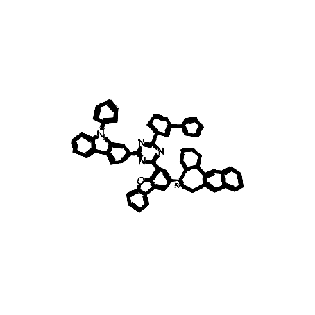 c1ccc(-c2cccc(-c3nc(-c4ccc5c6ccccc6n(-c6ccccc6)c5c4)nc(-c4cc([C@@H]5CCc6cc7ccccc7cc6C6CCCCC65)cc5c4oc4ccccc45)n3)c2)cc1